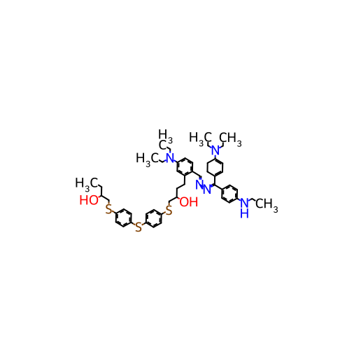 CCNc1ccc(/C(=N/N=C/c2ccc(N(CC)CC)cc2CCC(O)CSc2ccc(Sc3ccc(SCC(O)CC)cc3)cc2)C2=CC=C(N(CC)CC)CC2)cc1